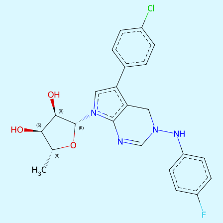 C[C@H]1O[C@@H](n2cc(-c3ccc(Cl)cc3)c3c2N=CN(Nc2ccc(F)cc2)C3)[C@H](O)[C@@H]1O